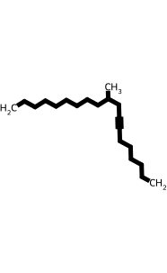 [CH2]CCCCCC#CCC(C)CCCCCCCC[CH2]